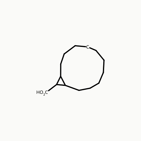 O=C(O)C1C2CCCCCCCCCCC21